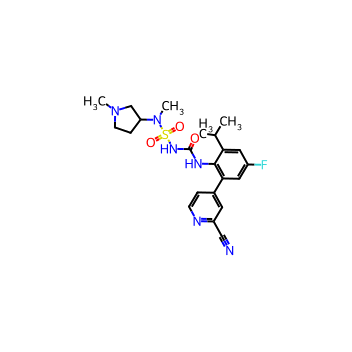 CC(C)c1cc(F)cc(-c2ccnc(C#N)c2)c1NC(=O)NS(=O)(=O)N(C)C1CCN(C)C1